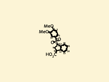 COc1ccc(S(=O)(=O)N2CC(C(=O)O)c3ccccc32)cc1OC